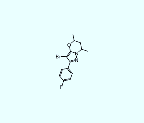 CC1CC(C)n2nc(-c3ccc(F)cc3)c(Br)c2O1